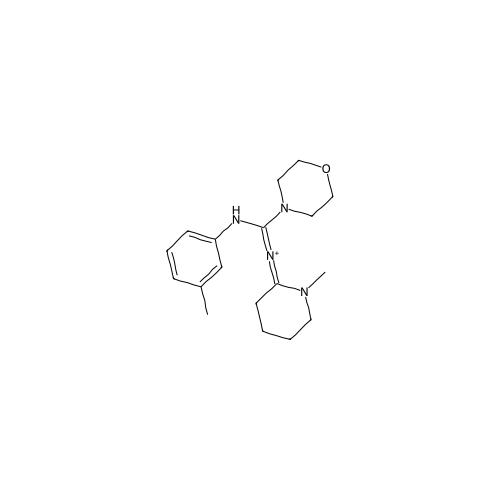 Cc1cccc(NC(=[N+]=C2CCCCN2C)N2CCOCC2)c1